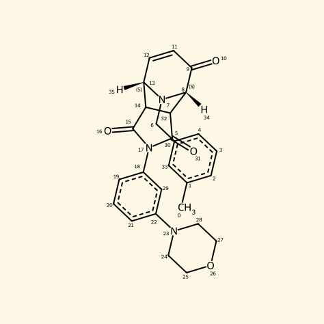 Cc1cccc(CN2[C@@H]3C(=O)C=C[C@H]2C2C(=O)N(c4cccc(N5CCOCC5)c4)C(=O)C23)c1